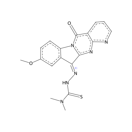 COc1ccc2c(c1)/C(=N\NC(=S)N(C)C)c1nc3ncccc3c(=O)n1-2